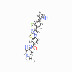 CN1CCC(NC(=O)c2ccc3c(c2)sc2nc(-c4ccc([C@H]5CCCN5)cc4F)cn23)CC1